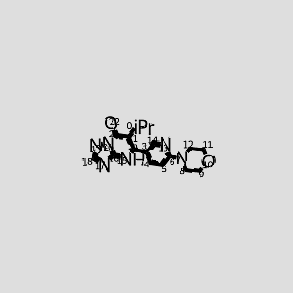 CC(C)c1c(-c2ccc(N3CCOCC3)nc2)[nH]c2ncnn2c1=O